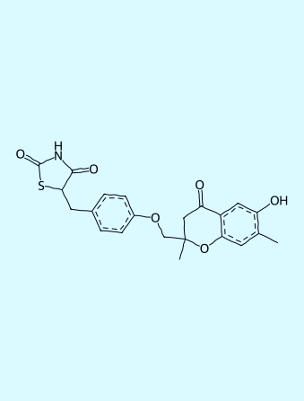 Cc1cc2c(cc1O)C(=O)CC(C)(COc1ccc(CC3SC(=O)NC3=O)cc1)O2